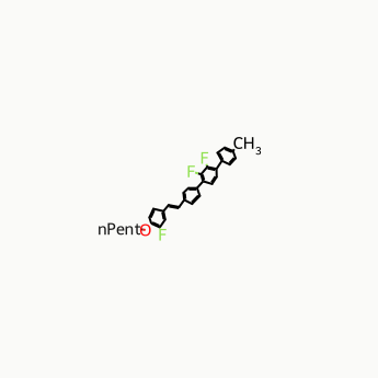 CCCCCOc1ccc(/C=C/c2ccc(-c3ccc(-c4ccc(C)cc4)c(F)c3F)cc2)cc1F